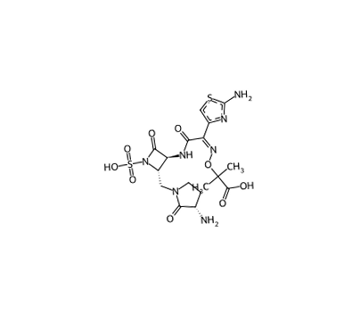 CC(C)(ON=C(C(=O)N[C@@H]1C(=O)N(S(=O)(=O)O)[C@H]1CN1CC[C@H](N)C1=O)c1csc(N)n1)C(=O)O